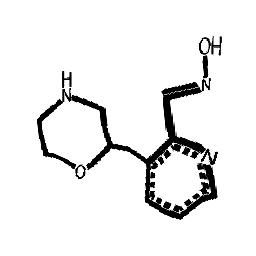 ON=Cc1ncccc1C1CNCCO1